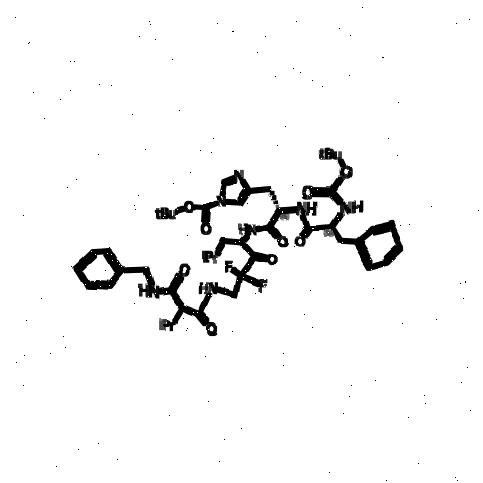 CC(C)CC(NC(=O)[C@H](Cc1cn(C(=O)OC(C)(C)C)cn1)NC(=O)[C@H](Cc1ccccc1)NC(=O)OC(C)(C)C)C(=O)C(F)(F)CNC(=O)C(C(=O)NCc1ccccc1)C(C)C